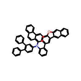 c1ccc(-c2ccc(N(c3ccccc3-c3ccc4oc5cc6ccccc6cc5c4c3)c3cccc4c3ccc3ccccc34)cc2-c2ccccc2)cc1